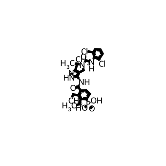 CCc1c(C(=O)Nc2[nH]nc3c2CN(C(=O)Nc2c(Cl)cccc2Cl)C3(C)C)ccc(P(=O)(O)O)c1CC